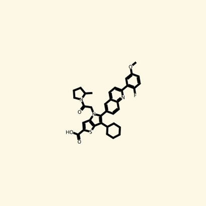 COc1ccc(F)c(-c2ccc3cc(-c4c(C5CCCCC5)c5sc(C(=O)O)cc5n4CC(=O)N4CCCC4C)ccc3n2)c1